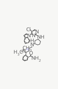 CN(C)C(/C=C/CNC1CCCC(Nc2ncc(Cl)c(-n3ccc4ccccc43)n2)C1)c1ccccc1C(N)=O